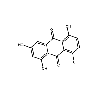 O=C1c2cc(O)cc(O)c2C(=O)c2c(Cl)ccc(O)c21